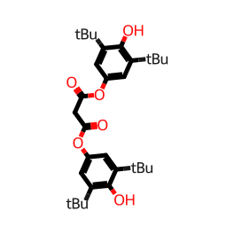 CC(C)(C)c1cc(OC(=O)CC(=O)Oc2cc(C(C)(C)C)c(O)c(C(C)(C)C)c2)cc(C(C)(C)C)c1O